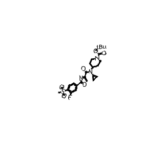 CC(C)(C)OC(=O)N1CCC(N(C(=O)c2coc(-c3ccc(S(C)(=O)=O)c(F)c3)n2)C2CC2)CC1